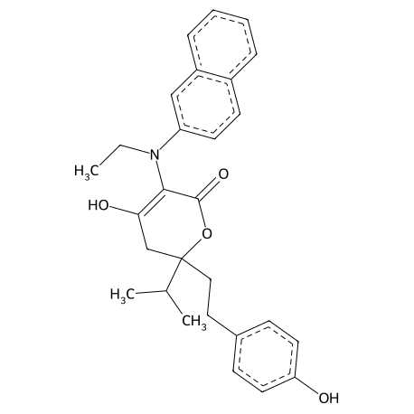 CCN(C1=C(O)CC(CCc2ccc(O)cc2)(C(C)C)OC1=O)c1ccc2ccccc2c1